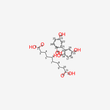 O=C(O)CCCCCCCCC(=O)O.Oc1ccc(O)c(-c2cc(O)ccc2O)c1